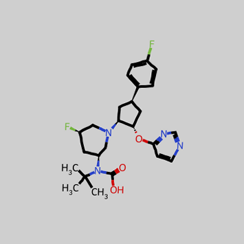 CC(C)(C)N(C(=O)O)[C@H]1C[C@@H](F)CN([C@H]2C[C@@H](c3ccc(F)cc3)C[C@@H]2Oc2ccncn2)C1